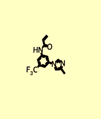 C=CC(=O)Nc1cc(-n2cnc(C)c2)cc(C(F)(F)F)c1